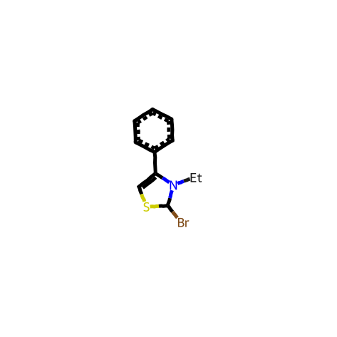 CCN1C(c2ccccc2)=CSC1Br